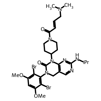 COc1cc(OC)c(Br)c(N2Cc3cnc(NC(C)C)nc3N(C3CCN(C(=O)C=CCN(C)C)CC3)C2=O)c1Br